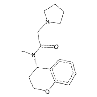 CN(C(=O)CN1CCCC1)[C@H]1CCOc2ccccc21